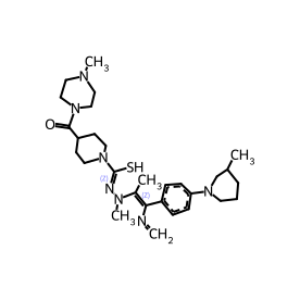 C=N/C(=C(/C)N(C)/N=C(\S)N1CCC(C(=O)N2CCN(C)CC2)CC1)c1ccc(N2CCCC(C)C2)cc1